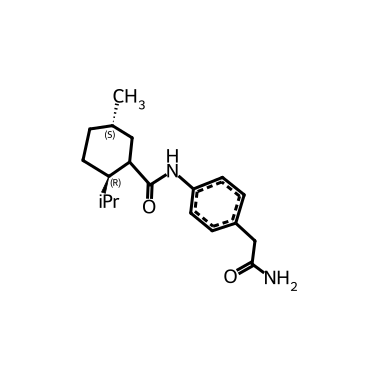 CC(C)[C@H]1CC[C@H](C)CC1C(=O)Nc1ccc(CC(N)=O)cc1